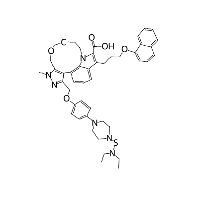 CCN(CC)SN1CCN(c2ccc(OCc3nn(C)c4c3-c3cccc5c(CCCOc6cccc7ccccc67)c(C(=O)O)n(c35)CCCCOC4)cc2)CC1